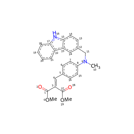 COC(=O)C(=Cc1ccc(N(C)Cc2ccc3[nH]c4ccccc4c3c2)cc1)C(=O)OC